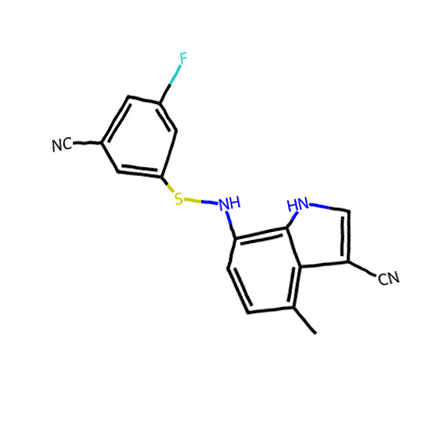 Cc1ccc(NSc2cc(F)cc(C#N)c2)c2[nH]cc(C#N)c12